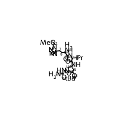 COCn1nnnc1CC[C@H](N)C(=O)N[C@H](C(=O)N[C@H](/C=N/NC(N)=O)CC(=O)OC(C)(C)C)C(C)C